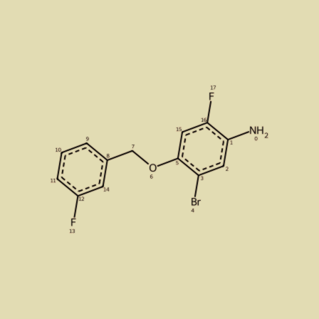 Nc1cc(Br)c(OCc2cccc(F)c2)cc1F